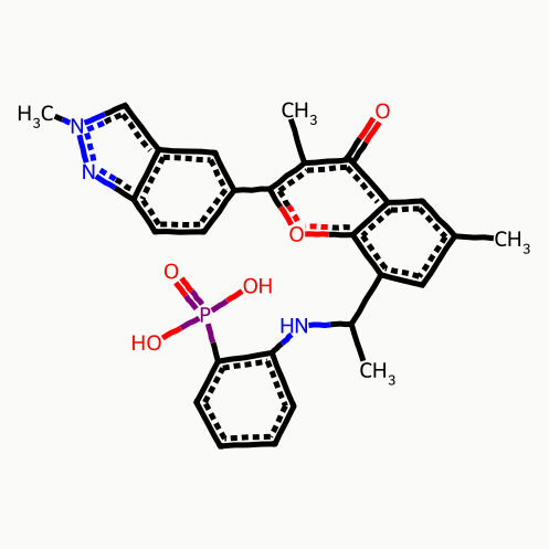 Cc1cc(C(C)Nc2ccccc2P(=O)(O)O)c2oc(-c3ccc4nn(C)cc4c3)c(C)c(=O)c2c1